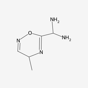 CC1C=NOC(C(N)N)=N1